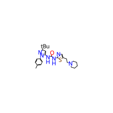 Cc1ccc(-n2nc(C(C)(C)C)cc2NC(=O)Nc2ncc(CCN3CCCCC3)s2)cc1